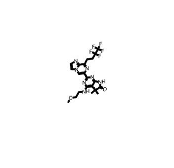 COCCNc1nc(-c2cn3ccnc3c(CCC(F)(F)C(F)(F)F)n2)nc2c1C(C)(C)C(=O)N2